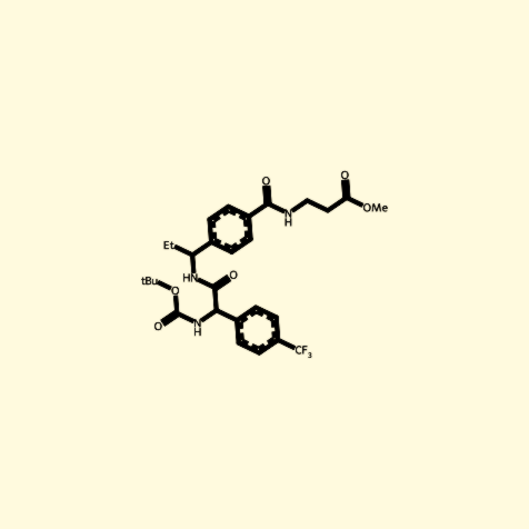 CCC(NC(=O)C(NC(=O)OC(C)(C)C)c1ccc(C(F)(F)F)cc1)c1ccc(C(=O)NCCC(=O)OC)cc1